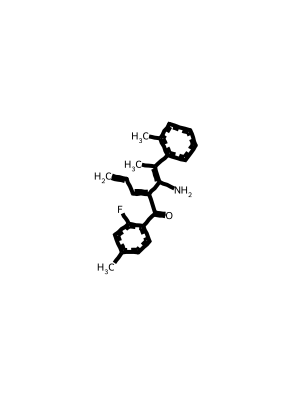 C=C/C=C(C(=O)c1ccc(C)cc1F)\C(N)=C(/C)c1ccccc1C